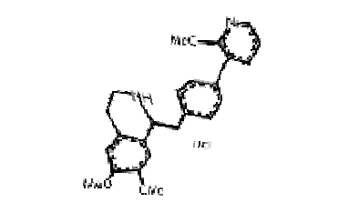 COc1cc2c(cc1OC)C(Cc1ccc(-c3cccnc3OC)cc1)NCC2.Cl